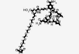 CCn1nc(C)cc1C(=O)Nc1nc2cc(C(N)=O)cc(OC)c2n1C/C=C/Cn1c(NC(=O)c2cc(C)nn2CC)nc2cc(C(N)=O)cc(OCCCNC(=O)[C@H](CCC(=O)O)NC(=O)CCOCCOCCOCCOCCOCCOCCN3C(=O)C=CC3=O)c21